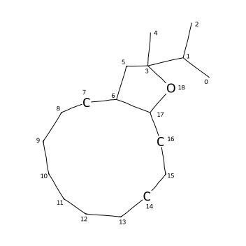 CC(C)C1(C)CC2CCCCCCCCCCC2O1